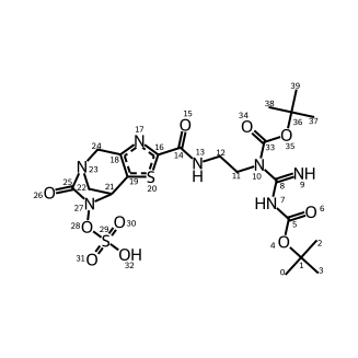 CC(C)(C)OC(=O)NC(=N)N(CCNC(=O)c1nc2c(s1)C1CN(C2)C(=O)N1OS(=O)(=O)O)C(=O)OC(C)(C)C